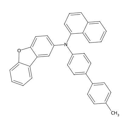 Cc1ccc(-c2ccc(N(c3ccc4oc5ccccc5c4c3)c3cccc4ccccc34)cc2)cc1